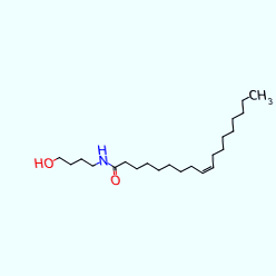 CCCCCCCC/C=C\CCCCCCCC(=O)NCCCCO